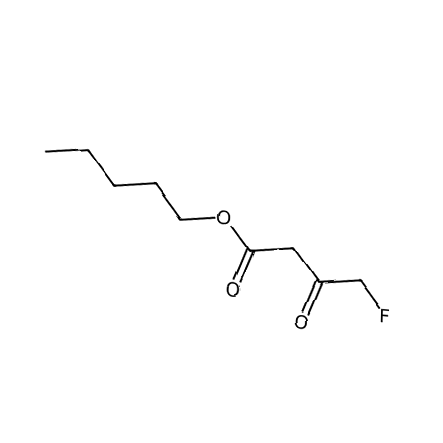 CCCCCOC(=O)CC(=O)CF